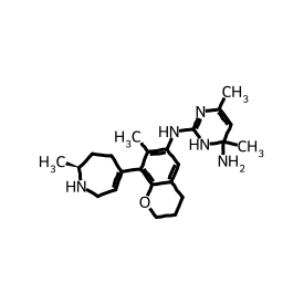 CC1=CC(C)(N)NC(Nc2cc3c(c(C4=CCN[C@@H](C)CC4)c2C)OCCC3)=N1